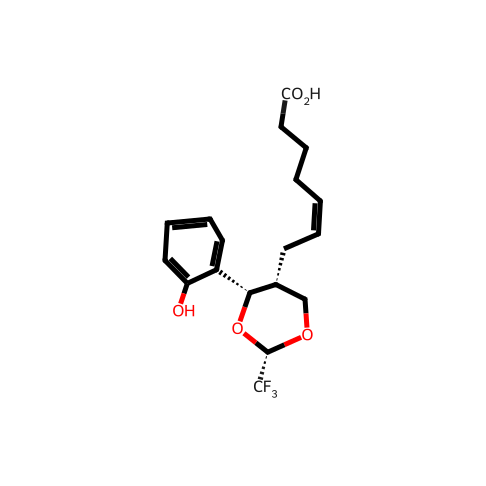 O=C(O)CCC/C=C\C[C@@H]1CO[C@H](C(F)(F)F)O[C@@H]1c1ccccc1O